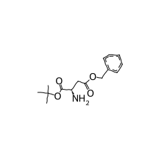 CC(C)(C)OC(=O)[C@H](N)CC(=O)OCc1ccccc1